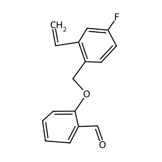 C=Cc1cc(F)ccc1COc1ccccc1C=O